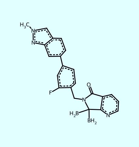 BC1(B)c2ncccc2C(=O)N1Cc1ccc(-c2ccc3cn(C)nc3c2)cc1F